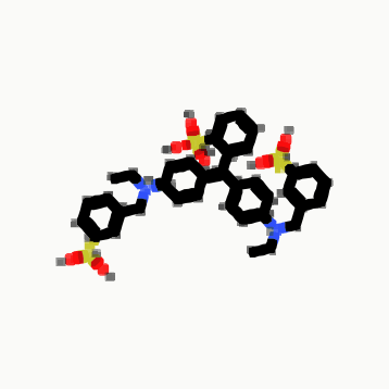 CCN(Cc1cccc([SH](=O)=O)c1)c1ccc(C(=C2C=CC(=[N+](CC)Cc3cccc([SH](=O)=O)c3)C=C2)c2ccccc2S(=O)(=O)[O-])cc1